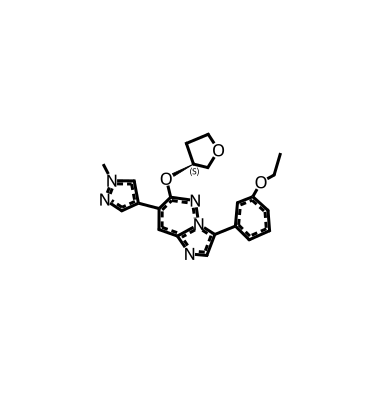 CCOc1cccc(-c2cnc3cc(-c4cnn(C)c4)c(O[C@H]4CCOC4)nn23)c1